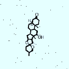 CC1CCC2(OC1)OC1CC3C4CC[C@H]5CC(=O)CC[C@]5(C)C4C[C@H](O)[C@]3(C)C1[C@@H]2C